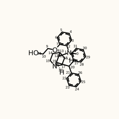 CN(c1ccccc1OCCO)[C@@H]1C2CCN(CC2)[C@@H]1C(c1ccccc1)c1ccccc1